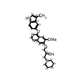 COc1cc2c(Oc3ccc4[nH]cc(C)c4c3)ncnc2cc1OCC(O)CN1CCCCC1